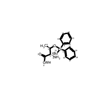 COC(=O)[C@@H](N)[C@@H](C)O[Si](c1ccccc1)(c1ccccc1)C(C)(C)C